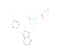 CC(C)(C)OC(=O)CN1CC2Cc3c(n(Cc4ccc(F)cc4)c4ccccc34)CN2C1=O